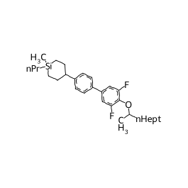 CCCCCCCC(C)Oc1c(F)cc(-c2ccc(C3CC[Si](C)(CCC)CC3)cc2)cc1F